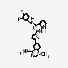 CCCNC1=NCN(C)c2ccc(-c3ccc(CNc4ncccc4C(=O)NCc4ccc(F)c(F)c4)s3)cc21